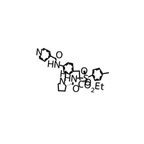 CCOC(=O)[C@](Cc1ccc(NC(=O)c2ccncc2)cc1)(NC(=O)[C@@H]1CCCN1)S(=O)(=O)c1ccc(C)cc1